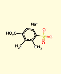 Cc1c(C(=O)O)ccc(S(=O)(=O)[O-])c1C.[Na+]